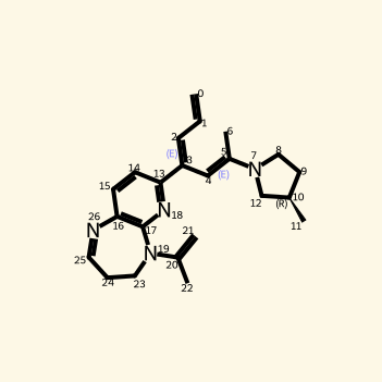 C=C/C=C(\C=C(/C)N1CC[C@@H](C)C1)c1ccc2c(n1)N(C(=C)C)CCC=N2